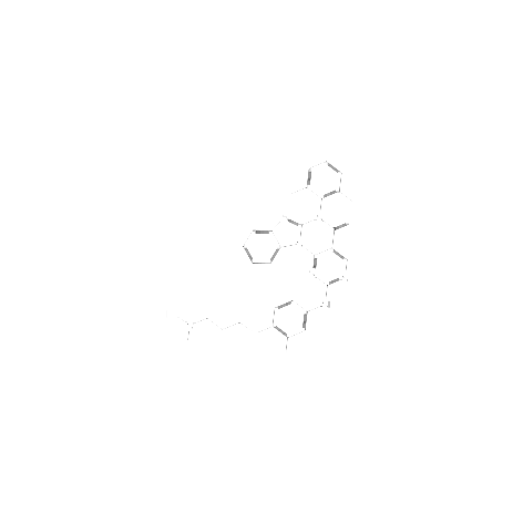 CCN(CC)CCCOc1ccc(Nc2ncc3c(=O)n(-c4c(C)cccc4C)c4nc5ccccc5n4c3n2)cc1F